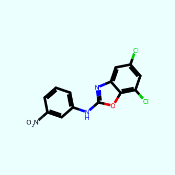 O=[N+]([O-])c1cccc(Nc2nc3cc(Cl)cc(Cl)c3o2)c1